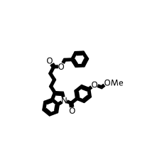 COCOc1ccc(C(=O)n2cc(CCCC(=O)OCc3ccccc3)c3ccccc32)cc1